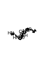 CC1(C)C[C@@H](CCCNc2cccc(S(=O)(=O)NC(=O)c3ccc(-n4ccc(OCCC5CCC56CC6)n4)nc3Cl)n2)CN1